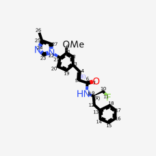 COc1cc(/C=C/C(=O)N[C@@H](CF)Cc2ccccc2)ccc1-n1cnc(C)c1